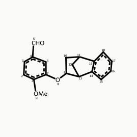 COc1ccc(C=O)cc1OC1CC2CC1c1ccccc12